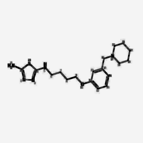 Nc1nnc(NCCCCOc2cccc(CN3CCCCC3)c2)s1